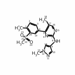 Cc1ccc(-c2nc(Nc3cnn(C)c3)ncc2C)cc1S(C)(=O)=O